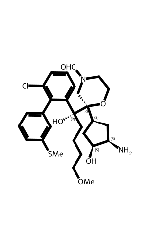 COCCCC[C@@](O)(c1cccc(Cl)c1-c1cccc(SC)c1)[C@@]1([C@H]2C[C@@H](N)[C@@H](O)C2)CN(C=O)CCO1